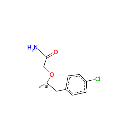 C[C@@H](Cc1ccc(Cl)cc1)OCC(N)=O